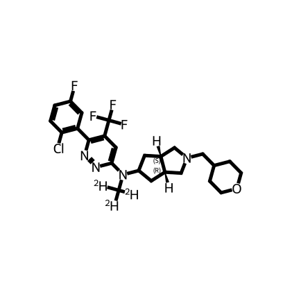 [2H]C([2H])([2H])N(c1cc(C(F)(F)F)c(-c2cc(F)ccc2Cl)nn1)C1C[C@@H]2CN(CC3CCOCC3)C[C@@H]2C1